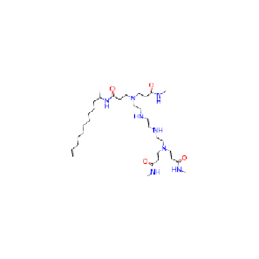 CCCCCCCCCCC(C)NC(=O)CCN(CCNCCNCCN(CCC(=O)NC)CCC(=O)NC)CCC(=O)NC